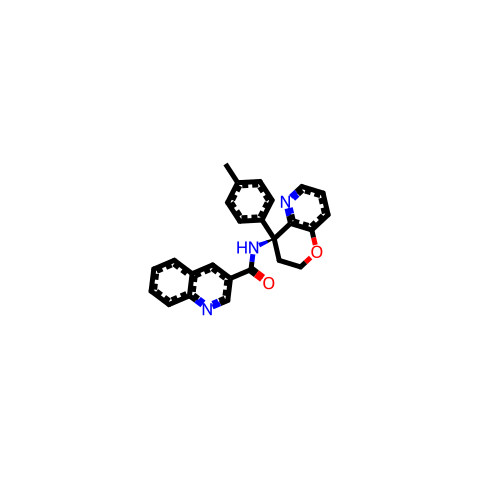 Cc1ccc([C@@]2(NC(=O)c3cnc4ccccc4c3)CCOc3cccnc32)cc1